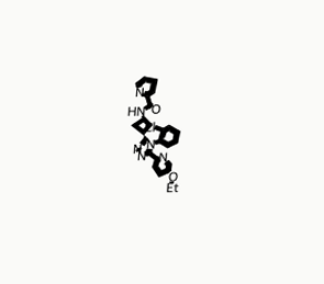 CCOc1ccc(-c2nnc([C@H]3C[C@H](NC(=O)c4ccccn4)C3)n2-c2ccccc2Cl)nc1